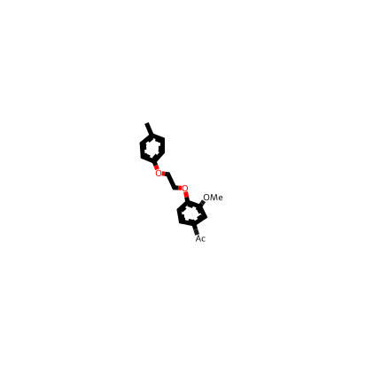 COc1cc(C(C)=O)ccc1OCCOc1ccc(C)cc1